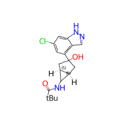 CC(C)(C)C(=O)NC1[C@H]2CC(O)(c3cc(Cl)cc4[nH]ncc34)C[C@@H]12